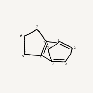 C1=C2CC(=C1)C1=C2CCC1